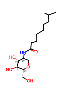 CC(C)CCCCCCC(=O)N[C@H]1[CH]O[C@H](CO)[C@@H](O)[C@@H]1O